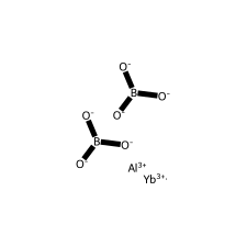 [Al+3].[O-]B([O-])[O-].[O-]B([O-])[O-].[Yb+3]